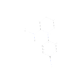 CC(=O)N(C)C1CCCCN1c1ccc(N)cc1